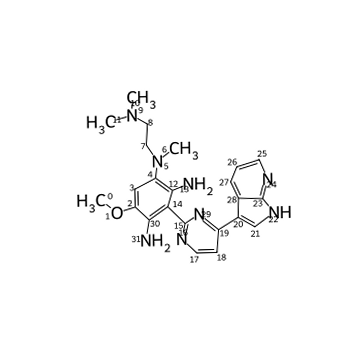 COc1cc(N(C)CCN(C)C)c(N)c(-c2nccc(-c3c[nH]c4ncccc34)n2)c1N